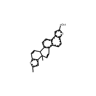 CCCCCCCCc1cc2c(ccc3c4c(ccc32)C2C=Cc3sc(C)cc3C2(C)C=C4)s1